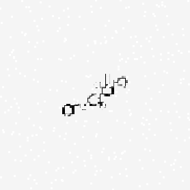 O=c1[nH]c(N2CCCC2)ccc1-n1ccc(OCc2ccccc2)cc1=O